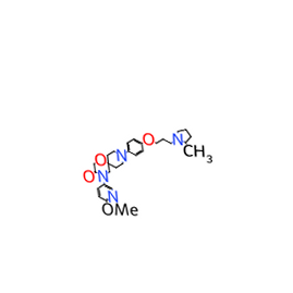 COc1ccc(N2CC3(CCN(c4ccc(OCCCN5CCC[C@@H]5C)cc4)CC3)OCC2=O)cn1